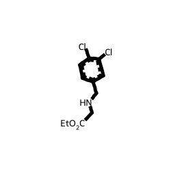 CCOC(=O)CNCc1ccc(Cl)c(Cl)c1